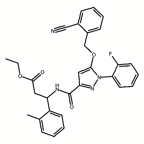 CCOC(=O)CC(NC(=O)c1cc(OCc2ccccc2C#N)n(-c2ccccc2F)n1)c1ccccc1C